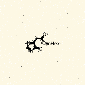 CCCCCCOC(=O)CC1=NC=NC1=O